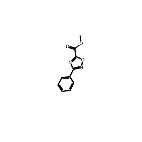 COC(=O)c1nc(-c2ccccc2)no1